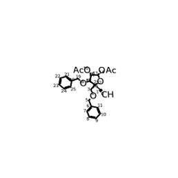 C#C[C@]1(COCc2ccccc2)OC(OC(C)=O)[C@H](OC(C)=O)[C@@H]1OCc1ccccc1